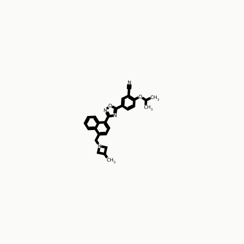 CC1CN(Cc2ccc(-c3noc(-c4ccc(OC(C)C)c(C#N)c4)n3)c3ccccc23)C1